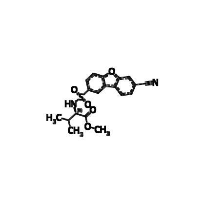 COC(=O)[C@H](NS(=O)(=O)c1ccc2oc3cc(C#N)ccc3c2c1)C(C)C